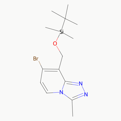 Cc1nnc2c(CO[Si](C)(C)C(C)(C)C)c(Br)ccn12